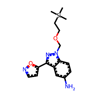 C[Si](C)(C)CCOCn1nc(-c2ccno2)c2cc(N)ccc21